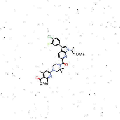 COC[C@H](C)n1cc(-c2ccc(Cl)c(F)c2)c2ccc(C(=O)N3CCN(c4cc(C)c(C(=O)OC)c(C)n4)CC3(C)C)nc21